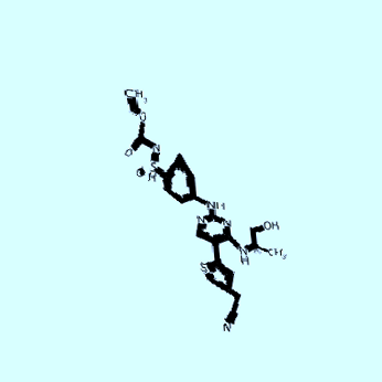 CCOC(=O)N=[SH](=O)c1ccc(Nc2ncc(-c3cc(CC#N)cs3)c(N[C@H](C)CO)n2)cc1